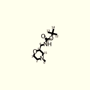 CN1CCO[C@@H](CNC(=O)OC(C)(C)C)C1